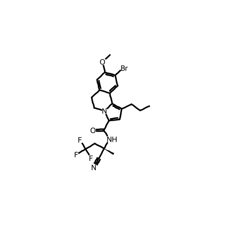 CCCc1cc(C(=O)N[C@](C)(C#N)CC(F)(F)F)n2c1-c1cc(Br)c(OC)cc1CC2